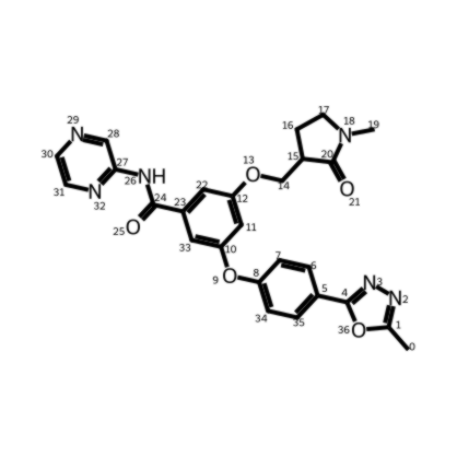 Cc1nnc(-c2ccc(Oc3cc(OCC4CCN(C)C4=O)cc(C(=O)Nc4cnccn4)c3)cc2)o1